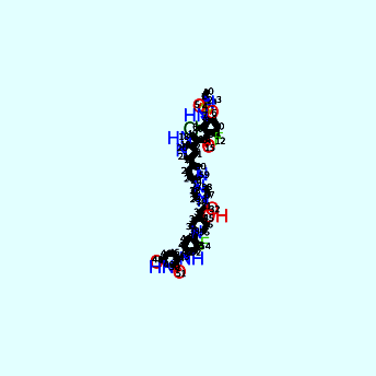 CCN(C)S(=O)(=O)Nc1ccc(F)c(C(=O)c2c[nH]c3ncc(-c4ccc(N5CCN(C(=O)CC6(O)CCN(c7ccc(NC8CCC(=O)NC8=O)cc7F)CC6)CC5)nc4)cc23)c1Cl